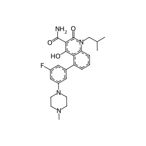 CC(C)Cn1c(=O)c(C(N)=O)c(O)c2c(-c3cc(F)cc(N4CCN(C)CC4)c3)cccc21